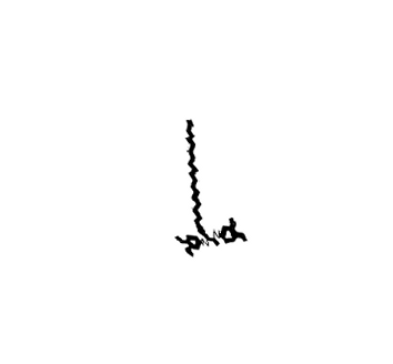 CCCCCCCCCCCCCCCCCCCC#CC(=N\c1ccc(CC)c(CC)c1)/C(C)=N/c1ccc(CC)c(CC)c1